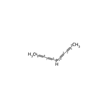 CC#CC#CPC#CC#CC